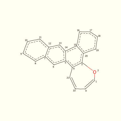 C1=COc2c(c3cc4ccccc4cc3c3ccccc23)C=C1